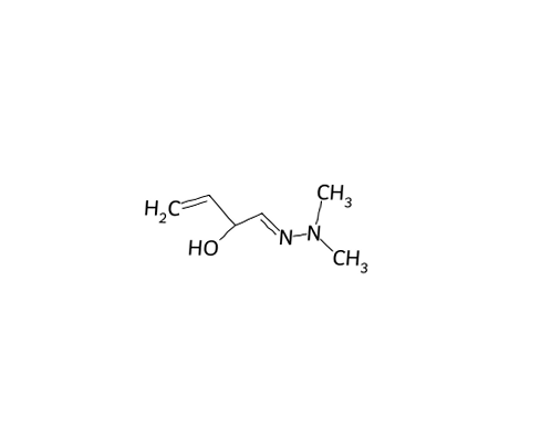 C=CC(O)C=NN(C)C